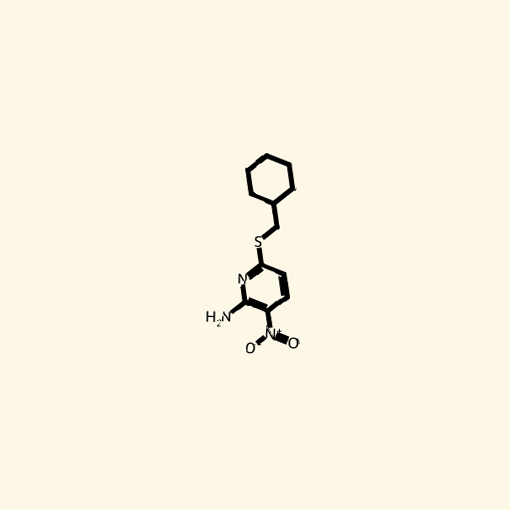 Nc1nc(SCC2CCCCC2)ccc1[N+](=O)[O-]